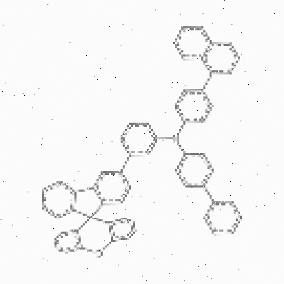 c1ccc(-c2ccc(N(c3ccc(-c4cccc5ccccc45)cc3)c3cccc(-c4ccc5c(c4)-c4ccccc4C54c5ccccc5Oc5ccccc54)c3)cc2)cc1